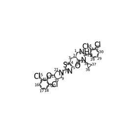 NC[C@H](Cc1cnc(N2CC[C@@H](Oc3c(Cl)cccc3Cl)C2)s1)C(=O)N(Cc1cccc(Cl)c1Cl)C1CC1